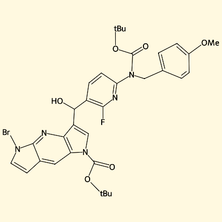 COc1ccc(CN(C(=O)OC(C)(C)C)c2ccc(C(O)c3cn(C(=O)OC(C)(C)C)c4cc5ccn(Br)c5nc34)c(F)n2)cc1